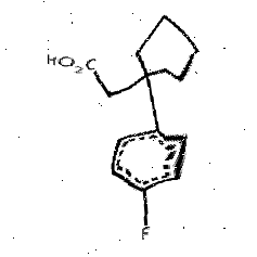 O=C(O)CC1(c2ccc(F)cc2)CCCC1